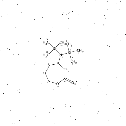 C[Si](C)(C)N(C1CCCOC(=O)C1)[Si](C)(C)C